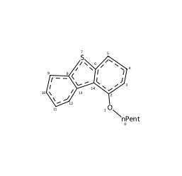 CCCCCOc1cccc2sc3ccccc3c12